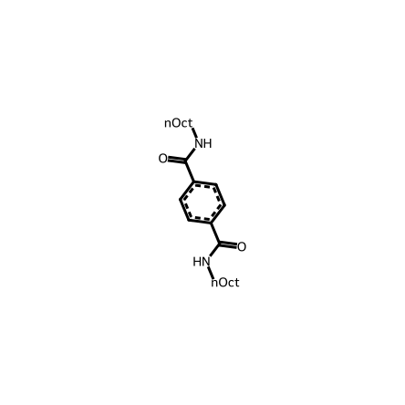 CCCCCCCCNC(=O)c1ccc(C(=O)NCCCCCCCC)cc1